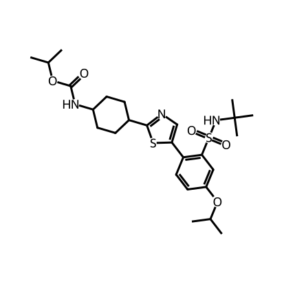 CC(C)OC(=O)NC1CCC(c2ncc(-c3ccc(OC(C)C)cc3S(=O)(=O)NC(C)(C)C)s2)CC1